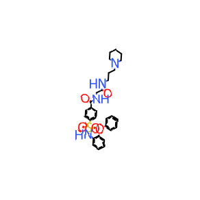 O=C(CNC(=O)c1ccc(S(=O)(=O)Nc2ccccc2Oc2ccccc2)cc1)NCCCN1CCCCC1